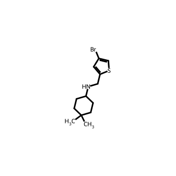 CC1(C)CCC(NCc2cc(Br)cs2)CC1